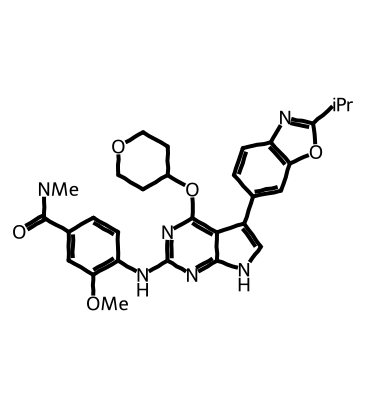 CNC(=O)c1ccc(Nc2nc(OC3CCOCC3)c3c(-c4ccc5nc(C(C)C)oc5c4)c[nH]c3n2)c(OC)c1